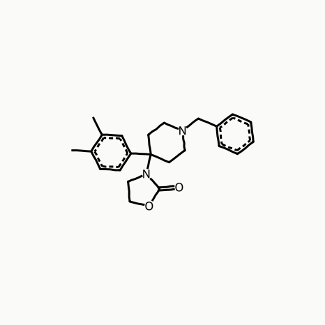 Cc1ccc(C2(N3CCOC3=O)CCN(Cc3ccccc3)CC2)cc1C